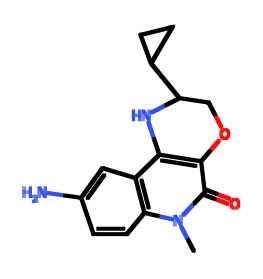 Cn1c(=O)c2c(c3cc(N)ccc31)NC(C1CC1)CO2